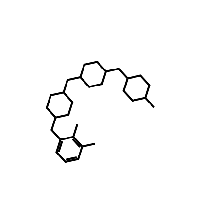 Cc1cccc(CC2CCC(CC3CCC(CC4CCC(C)CC4)CC3)CC2)c1C